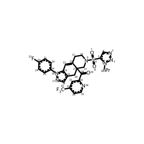 CCCn1nncc1S(=O)(=O)N1CCC2=Cc3c(cnn3-c3ccc(F)cc3)CC2(C(=O)c2cc(C(F)(F)F)ccn2)C1